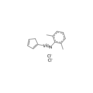 Cc1cccc(C)c1[N]=[V+2][C]1=CC=CC1.[Cl-].[Cl-]